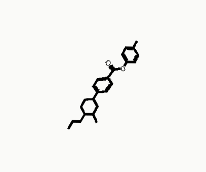 CCCC1CCC(c2ccc(C(=O)Oc3ccc(C)cc3)cc2)CC1C